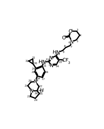 O=C1OCCCN1CCCNc1nc(Nc2ccc(N3CCN4CCC[C@@H]4C3)cc2C2CC2)ncc1C(F)(F)F